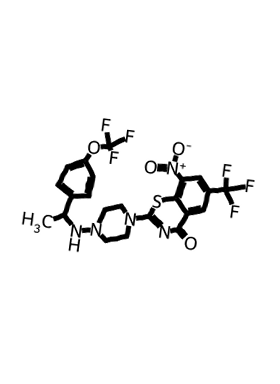 CC(NN1CCN(c2nc(=O)c3cc(C(F)(F)F)cc([N+](=O)[O-])c3s2)CC1)c1ccc(OC(F)(F)F)cc1